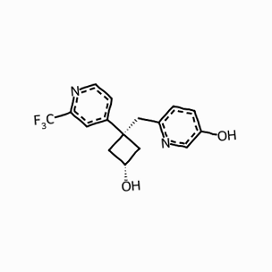 Oc1ccc(C[C@]2(c3ccnc(C(F)(F)F)c3)C[C@H](O)C2)nc1